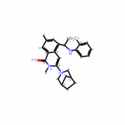 Cc1cc(C(C)Nc2ccccc2C(=O)O)c2cc(N3CC4CCC(C4)C3)n(C)c(=O)c2c1